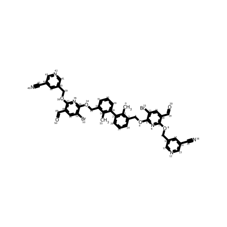 Cc1c(COc2nc(OCc3cncc(C#N)c3)c(C=O)cc2Br)cccc1-c1cccc(COc2nc(OCc3cncc(C#N)c3)c(C=O)cc2Br)c1C